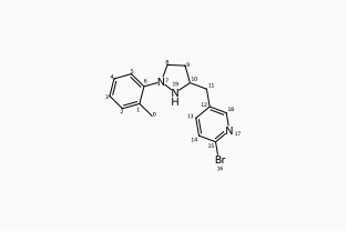 Cc1ccccc1N1CCC(Cc2ccc(Br)nc2)N1